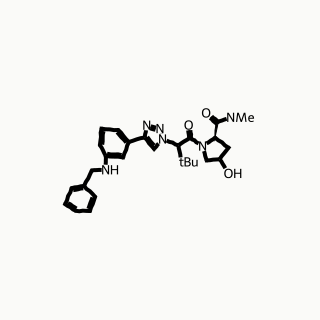 CNC(=O)[C@H]1CC(O)CN1C(=O)C(n1cc(-c2cccc(NCc3ccccc3)c2)nn1)C(C)(C)C